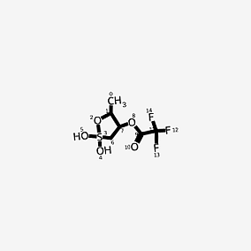 CC1OS(O)(O)CC1OC(=O)C(F)(F)F